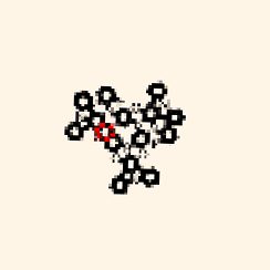 Fc1cccc(F)c1N1c2cc3c(cc2B2c4cc5c(cc4Oc4c2c1c1c2ccccc2n2c6ccccc6c4c12)N(c1c(F)cccc1F)c1c2c(c4c6ccccc6n6c7ccccc7c1c46)Oc1ccccc1B52)B1c2ccccc2Oc2c1c(c1c4ccccc4n4c5ccccc5c2c14)O3